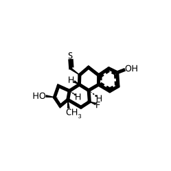 C[C@@]12C[C@@H](O)C[C@H]1[C@H]1[C@@H](c3ccc(O)cc3C[C@@H]1C=S)[C@@H](F)C2